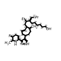 C=C1CCC(c2c[nH]nc2C2=CCC(F)C(C)N2)C/C=C/C1CC(CC)/C(=C/CCC)CCCCCCO